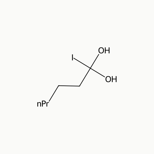 CCCCCC(O)(O)I